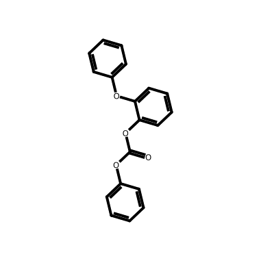 O=C(Oc1ccccc1)Oc1ccccc1Oc1ccccc1